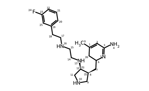 CC1=CC(N)=NC(C[C@H]2CNC[C@H]2NCCNCCc2cccc(F)c2)C1